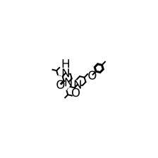 Cc1ccc(OCC2CCN(C(=O)[C@H](CC(C)C)N3CCN[C@@H](CC(C)C)C3=O)CC2)cc1